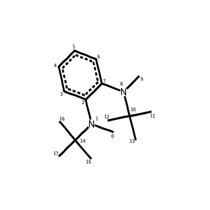 CN(c1ccccc1N(C)C(C)(C)C)C(C)(C)C